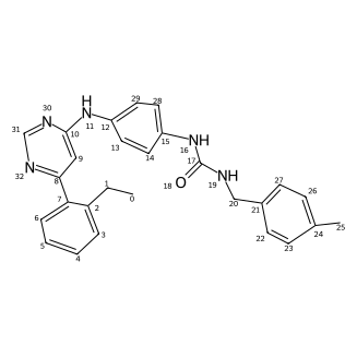 CCc1ccccc1-c1cc(Nc2ccc(NC(=O)NCc3ccc(C)cc3)cc2)ncn1